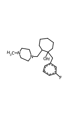 CN1CCN(CC2CCCCCC2(O)Cc2cccc(F)c2)CC1